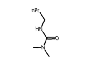 CCCCNC(=O)N(C)C